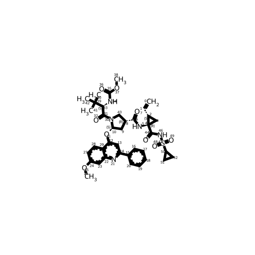 C=C[C@@H]1C[C@]1(NC(=O)[C@@H]1C[C@H](Oc2cc(-c3ccccc3)nc3cc(OC)ccc23)N(C(=O)[C@@H](NC(=O)OC)C(C)(C)C)C1)C(=O)NS(=O)(=O)C1CC1